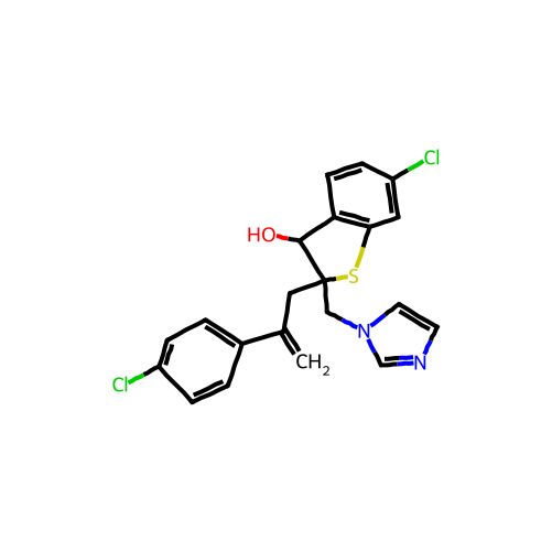 C=C(CC1(Cn2ccnc2)Sc2cc(Cl)ccc2C1O)c1ccc(Cl)cc1